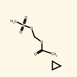 C1CC1.CC(=O)OCOS(C)(=O)=O